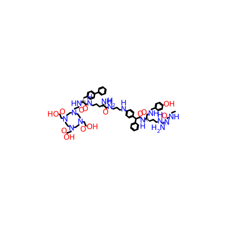 CCNC(=O)/N=C(/N)NCCC[C@@H](NC(=O)C(c1ccccc1)c1ccc(NCCCNC(=O)[C@H](N)CCCNC(=O)[C@@H](Cc2ccc(-c3ccccc3)cc2)NC(=O)CN2CCN(CC(=O)O)CCN(CC(=O)O)CCN(CC(=O)O)CC2)cc1)C(=O)NCc1ccc(O)cc1